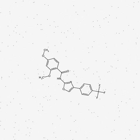 COc1ccc(C(=O)Nc2nc(-c3ccc(C(F)(F)F)cc3)co2)c(OC)c1